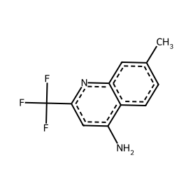 Cc1ccc2c(N)cc(C(F)(F)F)nc2c1